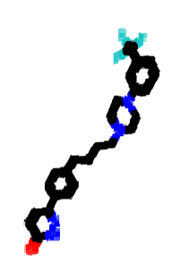 O=C1CCC(c2ccc(CCCCN3CCN(c4cccc(C(F)(F)F)c4)CC3)cc2)=NN1